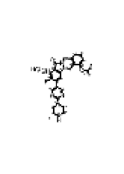 C[C@@H]1CN(c2ncc(-c3cc4c(cc3F)c(=O)n(C)n4Cc3ccccc3OC(F)F)cn2)CCN1.Cl.Cl